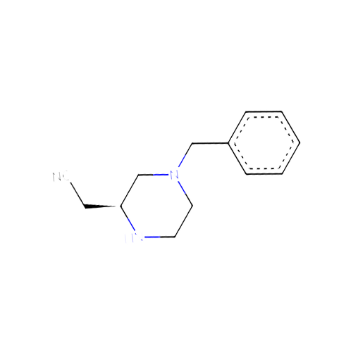 N#CC[C@H]1CN(Cc2ccccc2)CCN1